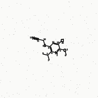 COc1nc(C(C)C)c(SCC#N)cc1Cl